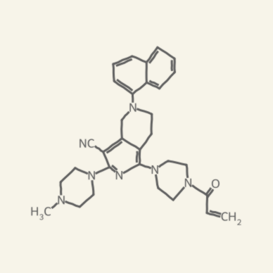 C=CC(=O)N1CCN(c2nc(N3CCN(C)CC3)c(C#N)c3c2CCN(c2cccc4ccccc24)C3)CC1